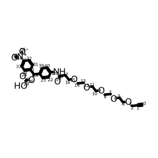 C#CCOCCOCCOCCOCCOCCC(=O)Nc1ccc(C(OC(=O)O)c2ccc([N+](=O)[O-])cc2)cc1